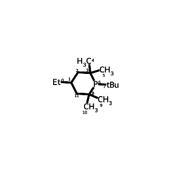 CCC1CC(C)(C)P(C(C)(C)C)C(C)(C)C1